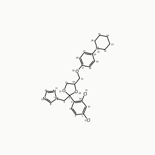 Clc1ccc(C2(Cn3cncn3)OCC(COc3ccc(N4CCCCC4)cc3)O2)c(Cl)c1